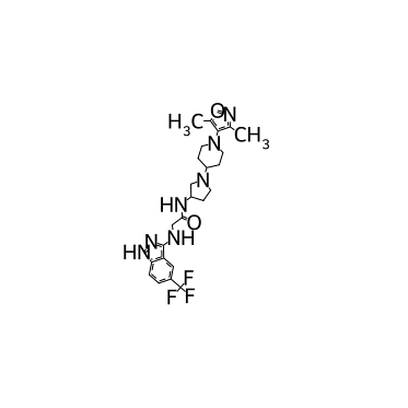 Cc1noc(C)c1N1CCC(N2CCC(NC(=O)CNc3n[nH]c4ccc(C(F)(F)F)cc34)C2)CC1